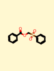 O=C(OCS(=O)(=O)c1ccccc1)c1ccccc1